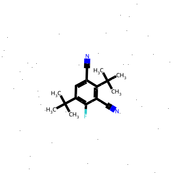 CC(C)(C)c1cc(C#N)c(C(C)(C)C)c(C#N)c1F